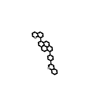 c1ccc2ncc(-c3ccc(-c4ccc5ccc6c(-c7cccc8cccnc78)ccc7ccc4c5c76)cc3)cc2c1